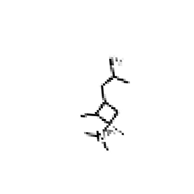 CC(C)C(C)CC1C[C@@](C)(N(C)C)C1C